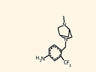 CN1CC2CC1CN2Cc1ccc(N)cc1C(F)(F)F